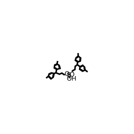 Cc1ccc(C(CCCOB(O)OCCCC(c2ccc(C)cc2)c2ccc(C)cc2)c2ccc(C)cc2)cc1